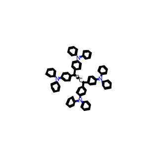 C(=C=C(c1ccc(N(c2ccccc2)c2ccccc2)cc1)c1ccc(N(c2ccccc2)c2ccccc2)cc1)=C(c1ccc(N(c2ccccc2)c2ccccc2)cc1)c1ccc(N(c2ccccc2)c2ccccc2)cc1